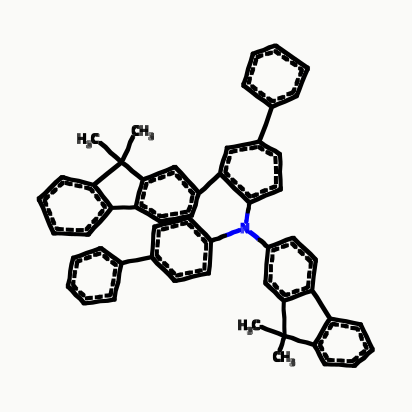 CC1(C)c2ccccc2-c2ccc(-c3cc(-c4ccccc4)ccc3N(c3ccc(-c4ccccc4)cc3)c3ccc4c(c3)C(C)(C)c3ccccc3-4)cc21